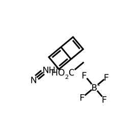 CC(=O)O.F[B-](F)(F)F.N#[NH+].c1cc2ccc1-2